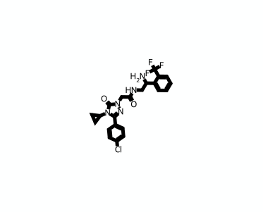 NC(CNC(=O)Cn1nc(-c2ccc(Cl)cc2)n(C2CC2)c1=O)c1ccccc1C(F)(F)F